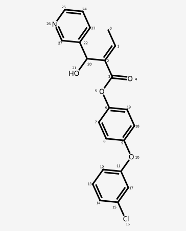 CC=C(C(=O)Oc1ccc(Oc2cccc(Cl)c2)cc1)C(O)c1cccnc1